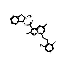 Cc1cc(OCc2c(F)cccc2F)n2nc(C)c(C(=O)N[C@H]3c4ccccc4C[C@H]3O)c2c1